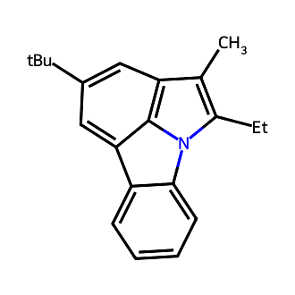 CCc1c(C)c2cc(C(C)(C)C)cc3c4ccccc4n1c23